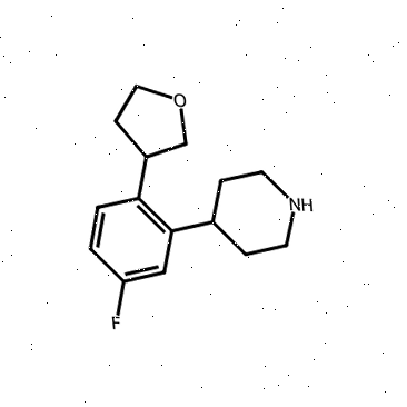 Fc1ccc(C2CCOC2)c(C2CCNCC2)c1